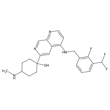 CNC1CCC(O)(c2cc3c(NCc4cccc(C(F)F)c4F)ccnc3cn2)CC1